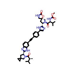 COC(=O)N[C@H](C(=O)N1C[C@@]2(CNC(=O)O2)C[C@H]1c1ncc(-c2ccc(C#Cc3ccc4nc([C@@H]5CC6(CC6)CN5C(=O)[C@@H](C)C(C)C)[nH]c4c3)cc2)[nH]1)C(C)C